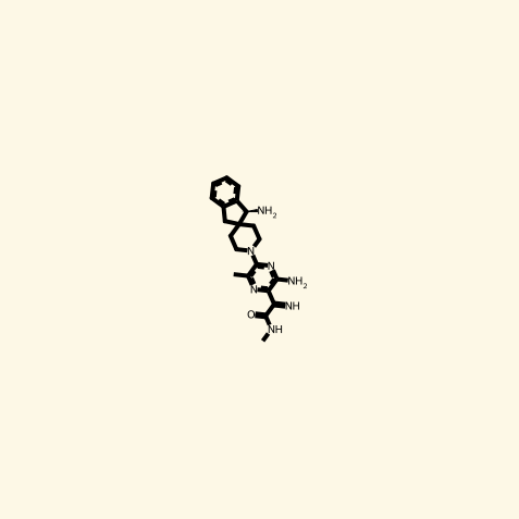 CNC(=O)C(=N)c1nc(C)c(N2CCC3(CC2)Cc2ccccc2[C@H]3N)nc1N